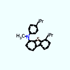 CC(C)c1ccc(N(C)c2cccc3c2sc2c(C(C)C)cccc23)cc1